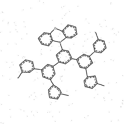 Cc1cccc(-c2cc(-c3cccc(C)c3)cc(-c3cc(-c4cc(-c5cccc(C)c5)cc(-c5cccc(C)c5)c4)cc(N4c5ccccc5Oc5ccccc54)c3)c2)c1